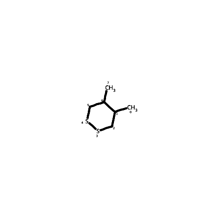 CC1CSSCC1C